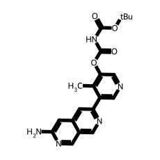 Cc1c(OC(=O)NC(=O)OC(C)(C)C)cncc1-c1cc2cc(N)ncc2cn1